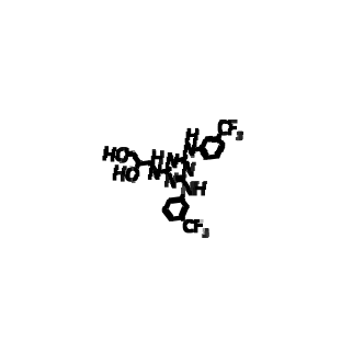 OCC(O)CNc1nc(Nc2cccc(C(F)(F)F)c2)nc(Nc2cccc(C(F)(F)F)c2)n1